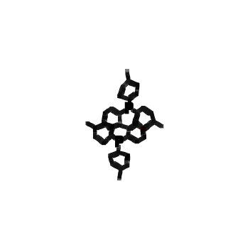 Cc1ccc(P(c2ccc(C)cc2)c2ccccc2-c2ccccc2P(c2ccc(C)cc2)c2ccc(C)cc2)cc1